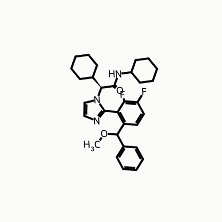 COC(c1ccccc1)c1ccc(F)c(F)c1-c1nccn1[C@H](C(=O)NC1CCCCC1)C1CCCCC1